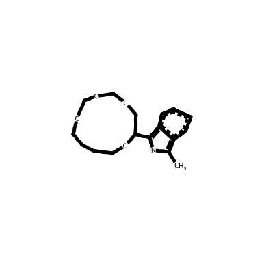 CC1=c2ccccc2=C(C2CCCCCCCCCCC2)[N]1